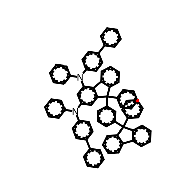 c1ccc(-c2ccc(N(c3ccccc3)c3cc(N(c4ccccc4)c4ccc(-c5ccccc5)cc4)c4c(c3)C(c3ccccc3)(c3cccc(C5(c6ccccc6)c6ccccc6-c6ccccc65)c3)c3ccccc3-4)cc2)cc1